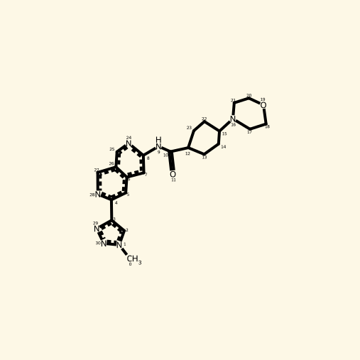 Cn1cc(-c2cc3cc(NC(=O)C4CCC(N5CCOCC5)CC4)ncc3cn2)nn1